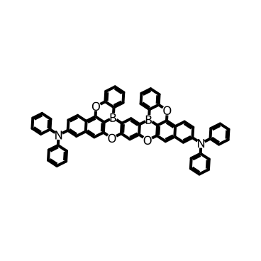 c1ccc(N(c2ccccc2)c2ccc3c4c5c(cc3c2)Oc2cc3c(cc2B5c2ccccc2O4)B2c4ccccc4Oc4c2c(cc2cc(N(c5ccccc5)c5ccccc5)ccc42)O3)cc1